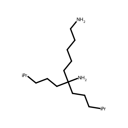 CC(C)CCCC(N)(CCCCCN)CCCC(C)C